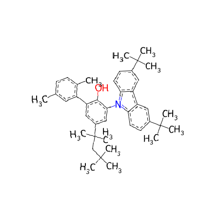 Cc1ccc(C)c(-c2cc(C(C)(C)CC(C)(C)C)cc(-n3c4ccc(C(C)(C)C)cc4c4cc(C(C)(C)C)ccc43)c2O)c1